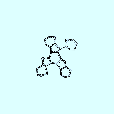 c1ccc(-n2c3ccccc3c3c4oc5ccccc5c4c4c5ccccc5sc4c32)nc1